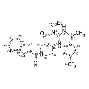 CCOn1c(N[C@@H](C)c2ccc(C(F)(F)F)cc2)nc2c(c1=O)CN(C(=O)c1cc3cccnc3s1)CC2